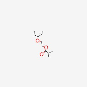 C=C(C)C(=O)OCCOC(CC)CC